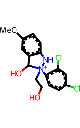 COc1ccc2c(c1)C(O)[N+](CCO)(c1ccc(Cl)cc1Cl)N2